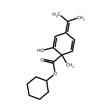 CC(C)=C1C=CC(C)(C(=O)OC2CCCCC2)C(O)=C1